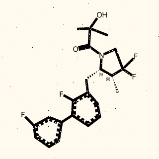 C[C@@H]1[C@H](Cc2cccc(-c3cccc(F)c3)c2F)N(C(=O)C(C)(C)O)CC1(F)F